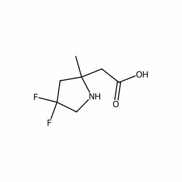 CC1(CC(=O)O)CC(F)(F)CN1